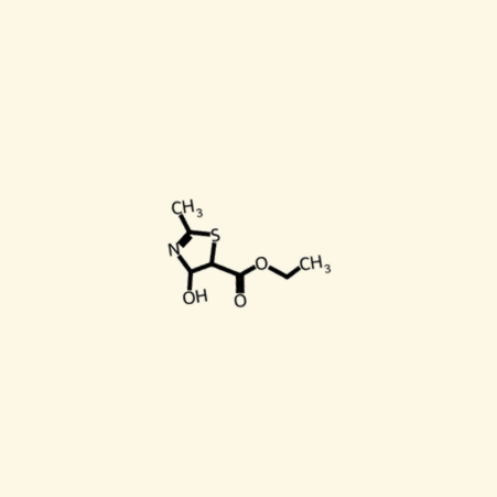 CCOC(=O)C1SC(C)=NC1O